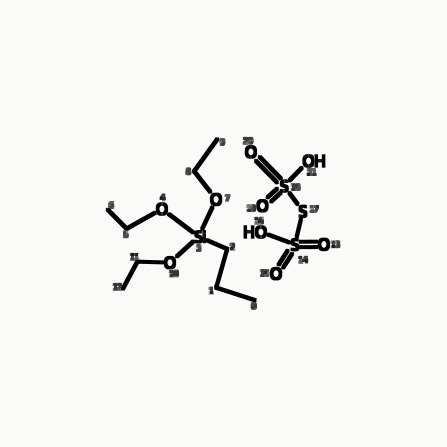 CCC[Si](OCC)(OCC)OCC.O=S(=O)(O)SS(=O)(=O)O